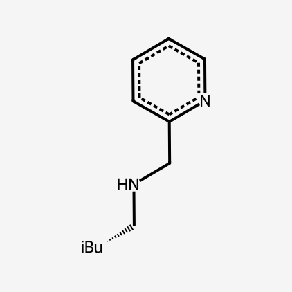 CC[C@@H](C)CNCc1ccccn1